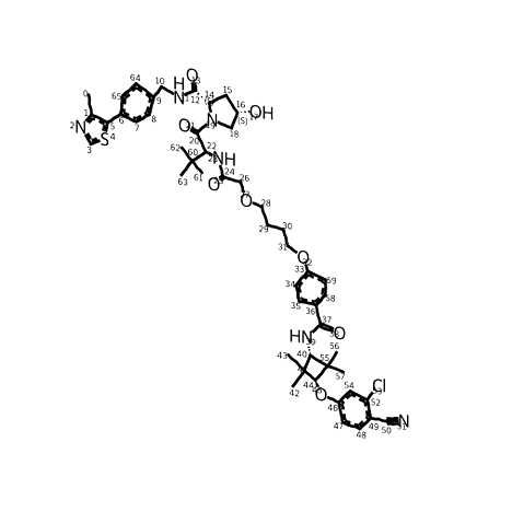 Cc1ncsc1-c1ccc(CNC(=O)[C@@H]2C[C@H](O)CN2C(=O)C(NC(=O)COCCCCOc2ccc(C(=O)N[C@H]3C(C)(C)[C@H](Oc4ccc(C#N)c(Cl)c4)C3(C)C)cc2)C(C)(C)C)cc1